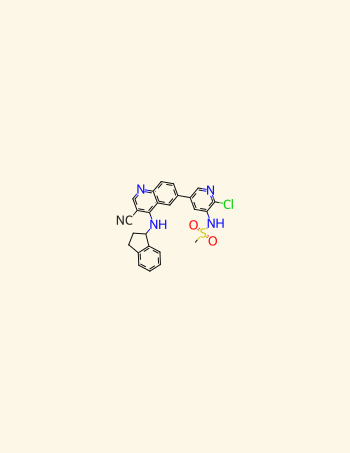 CS(=O)(=O)Nc1cc(-c2ccc3ncc(C#N)c(NC4CCc5ccccc54)c3c2)cnc1Cl